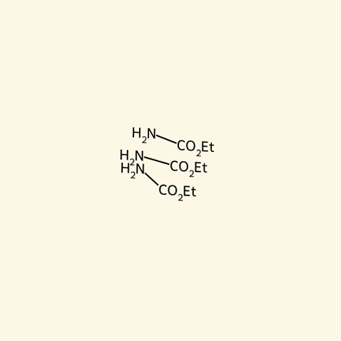 CCOC(N)=O.CCOC(N)=O.CCOC(N)=O